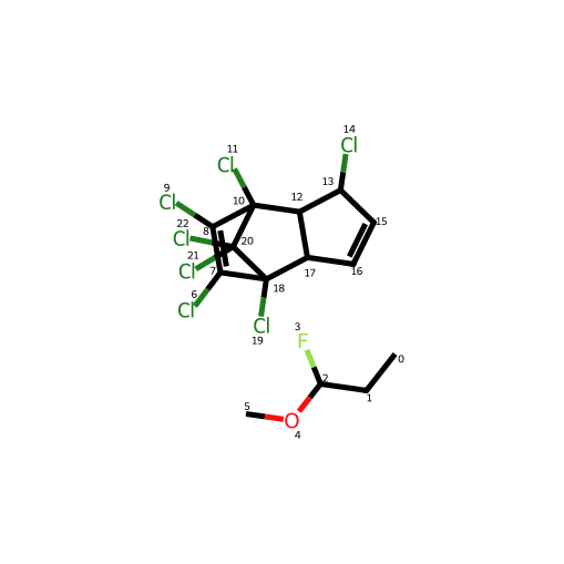 CCC(F)OC.ClC1=C(Cl)C2(Cl)C3C(Cl)C=CC3C1(Cl)C2(Cl)Cl